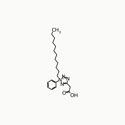 CCCCCCCCCCCC[N+]1(c2ccccc2)N=NC(CC(=O)O)=N1